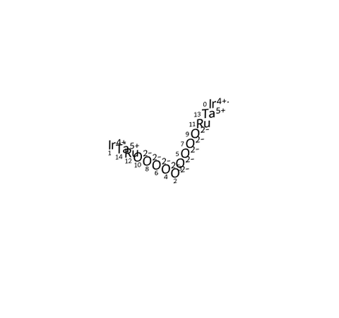 [Ir+4].[Ir+4].[O-2].[O-2].[O-2].[O-2].[O-2].[O-2].[O-2].[O-2].[O-2].[Ru].[Ru].[Ta+5].[Ta+5]